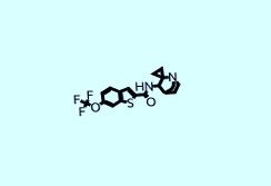 O=C(NC1C2CCN(CC2)C12CC2)c1cc2ccc(OC(F)(F)F)cc2s1